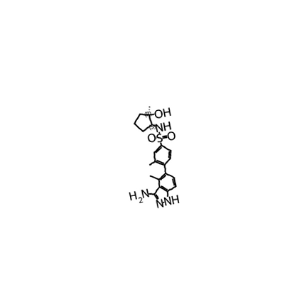 Cc1cc(S(=O)(=O)N[C@H]2CCC[C@@]2(C)O)ccc1-c1ccc2[nH]nc(N)c2c1C